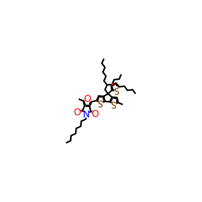 CCCCCCCCN1C(=O)c2c(C)oc(-c3cc4c(s3)-c3sc(C)cc3C4(CC(CCCC)CCCCCC)c3ccc(CCCC)s3)c2C1=O